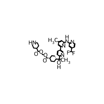 Cc1cc(Nc2cc(C(F)F)ccn2)nc(-c2ccc([C@](C)(O)[C@H]3CC[C@H](C(=O)OCOC(=O)C4CCNCC4)CC3)nc2)c1